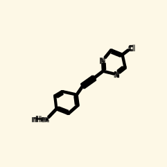 CCCCCCc1ccc(C#Cc2ncc(Cl)cn2)cc1